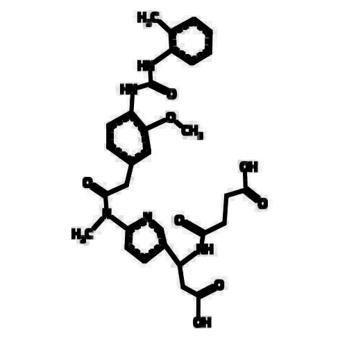 COc1cc(CC(=O)N(C)c2ccc(C(CC(=O)O)NC(=O)CCC(=O)O)cn2)ccc1NC(=O)Nc1ccccc1C